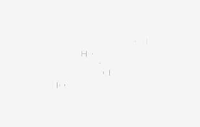 CC(C)(C1=CCC(O)CC1)C1=CCC(O)CC1